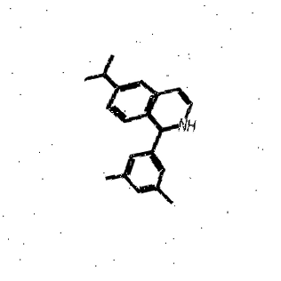 Cc1cc(C)cc(C2NC=Cc3cc(C(C)C)ccc32)c1